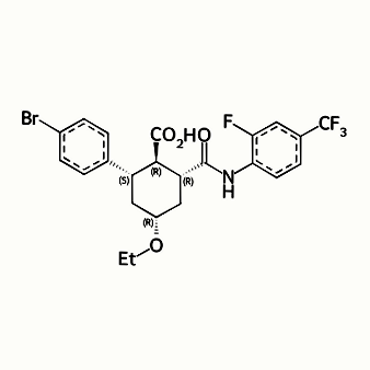 CCO[C@@H]1C[C@H](c2ccc(Br)cc2)[C@@H](C(=O)O)[C@H](C(=O)Nc2ccc(C(F)(F)F)cc2F)C1